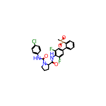 CS(=O)(=O)c1ccccc1-c1cc(F)c(NC(=O)C2CCCN2C(=O)Nc2ccc(Cl)cc2)c(F)c1